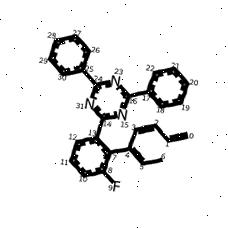 C=C/C=C\C(=C/C)c1c(F)cccc1-c1nc(-c2ccccc2)nc(-c2ccccc2)n1